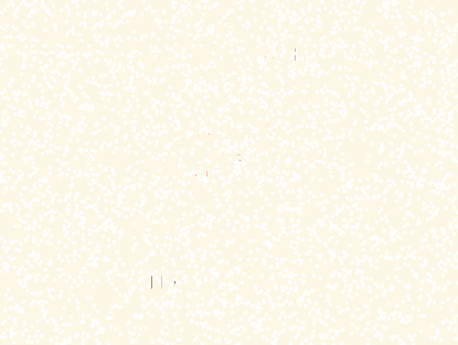 CC1COC2(CCCS1)OCC(C)S2